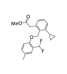 COC(=O)Cc1cccc(C2CC2)c1COc1ccc(C)cc1C(F)F